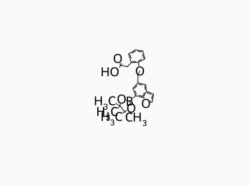 CC1(C)OB(c2cc(COc3ccccc3CC(=O)O)cc3ccoc23)OC1(C)C